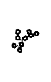 c1ccc(-c2cccc(N(c3ccc(-c4cc5oc6ccccc6c5c5ccccc45)cc3)c3ccc4c5ccccc5n(-c5ccccc5)c4c3)c2)cc1